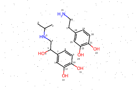 CC(C)NCC(O)c1ccc(O)c(O)c1.NCCc1ccc(O)c(O)c1